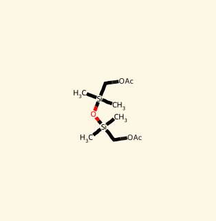 CC(=O)OC[Si](C)(C)O[Si](C)(C)COC(C)=O